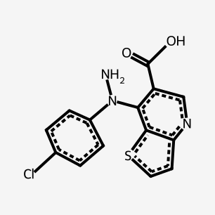 NN(c1ccc(Cl)cc1)c1c(C(=O)O)cnc2ccsc12